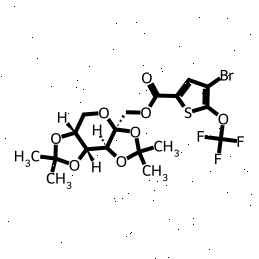 CC1(C)O[C@@H]2[C@@H](CO[C@@]3(COC(=O)c4cc(Br)c(OC(F)(F)F)s4)OC(C)(C)O[C@@H]23)O1